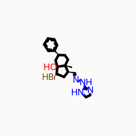 Br.C[C@]12CC[C@H](c3ccccc3)C[C@@]1(O)CC[C@@H]2/C=N/NC1=NCCN1